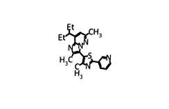 CCC(CC)c1cc(C)nn2c(-c3sc(-c4cccnc4)nc3C)c(C)nc12